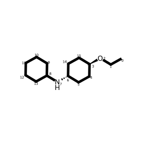 CCO[C@H]1CC[C@H](NC2CCCCC2)CC1